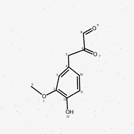 COc1cc(CC(=O)C=O)ccc1O